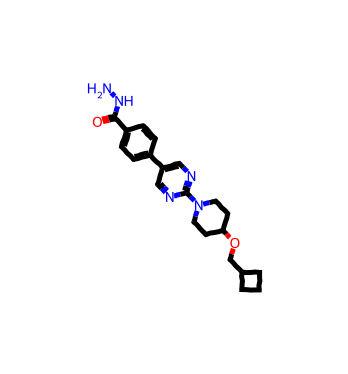 NNC(=O)c1ccc(-c2cnc(N3CCC(OCC4CCC4)CC3)nc2)cc1